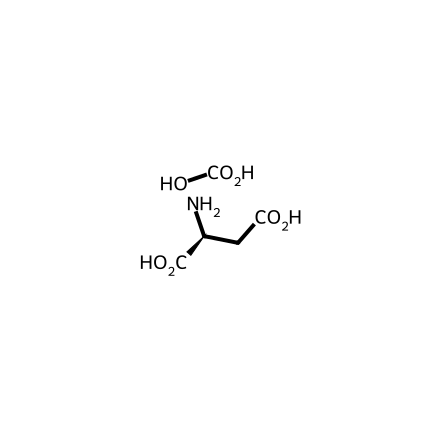 N[C@@H](CC(=O)O)C(=O)O.O=C(O)O